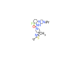 CC(C)N1CCN(C2CCCC(F)(F)C2NC(=O)N2CCC(C)(c3csc(C4CC4)n3)CC2)CC1